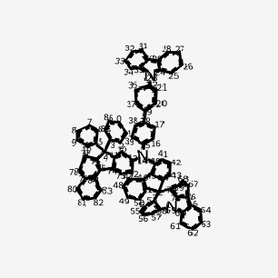 c1ccc(C2(c3ccccc3)c3cc(N(c4ccc(-c5ccc(-n6c7ccccc7c7ccccc76)cc5)cc4)c4cccc5c4-c4ccccc4C54c5ccccc5-n5c6ccccc6c6cccc4c65)ccc3-c3c2ccc2ccccc32)cc1